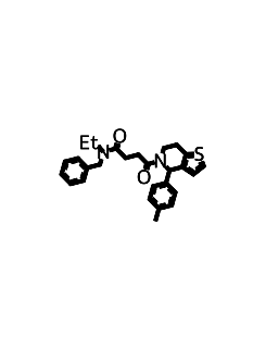 CCN(Cc1ccccc1)C(=O)CCC(=O)N1CCc2sccc2C1c1ccc(C)cc1